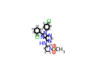 CS(=O)(=O)N1CCCC(Nc2ncnc3c2nc(-c2ccccc2Cl)n3-c2ccc(Cl)cc2)C1